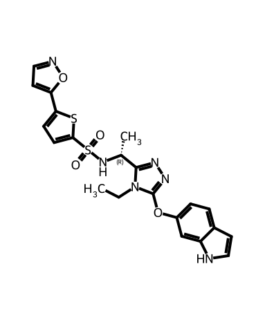 CCn1c(Oc2ccc3cc[nH]c3c2)nnc1[C@@H](C)NS(=O)(=O)c1ccc(-c2ccno2)s1